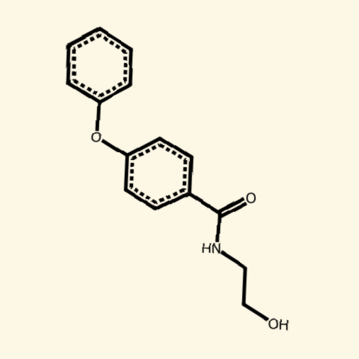 O=C(NCCO)c1ccc(Oc2ccccc2)cc1